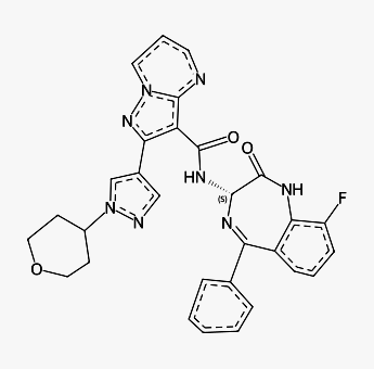 O=C(N[C@H]1N=C(c2ccccc2)c2cccc(F)c2NC1=O)c1c(-c2cnn(C3CCOCC3)c2)nn2cccnc12